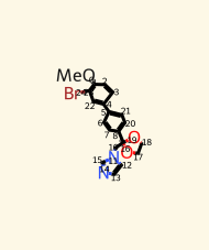 COc1ccc(-c2ccc(C3(Cn4ccnc4)OCCO3)cc2)cc1Br